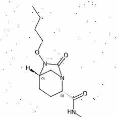 CCCCON1C(=O)N2C[C@@H]1CC[C@H]2C(=O)NO